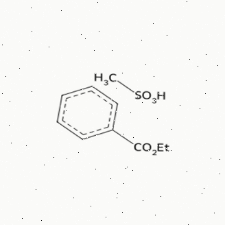 CCOC(=O)c1ccccc1.CS(=O)(=O)O